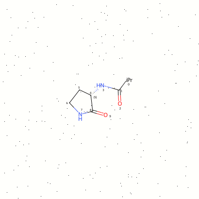 CC(C)C(=O)N[C@H]1CCNC1=O